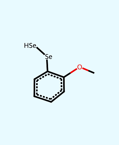 COc1ccccc1[Se][SeH]